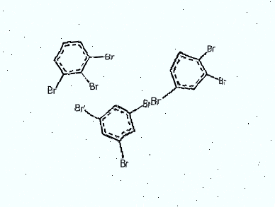 Brc1cc(Br)cc(Br)c1.Brc1ccc(Br)c(Br)c1.Brc1cccc(Br)c1Br